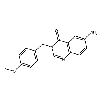 COc1ccc(Cn2cnc3ccc(N)cc3c2=O)cc1